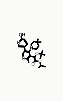 Cc1ncc(-c2ccc(O)nc2)c(N2CCC(C)(C)CC2)c1C(OC(C)(C)C)C(=O)OC(C)C